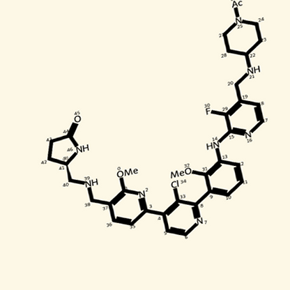 COc1nc(-c2ccnc(-c3cccc(Nc4nccc(CNC5CCN(C(C)=O)CC5)c4F)c3OC)c2Cl)ccc1CNC[C@H]1CCC(=O)N1